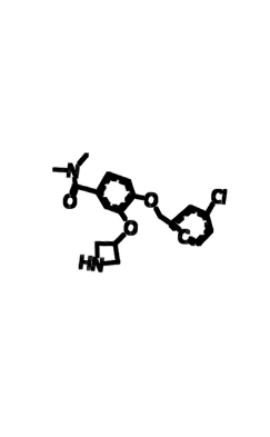 CN(C)C(=O)c1ccc(OCc2cccc(Cl)c2)c(OC2CNC2)c1